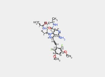 C=CC(=O)N1CC[C@H](n2nc(C#Cc3c(F)c(OC)cc(OC)c3F)c3c(N)ncc(C(=O)NC(C)C)c32)C1